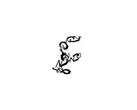 CCc1nc2ccccc2n1-c1cc(N2CCOCC2)n2nc(CN3CCC(N4CCN(C)CC4)CC3)cc2n1